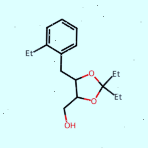 CCc1ccccc1CC1OC(CC)(CC)OC1CO